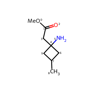 COC(=O)CC1(N)CC(C)C1